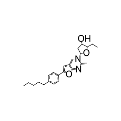 C=C1N=c2oc(-c3ccc(CCCCC)cc3)cc2=CN1C1CC(O)C(CC)O1